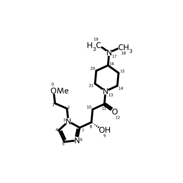 COCCn1ccnc1[C@@H](O)CC(=O)N1CCC(N(C)C)CC1